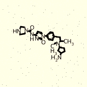 CCN(C(C)Cc1ccc(-n2ccc(NC(=O)N3CCNCC3)nc2=O)cc1)[C@H]1CCC(N)C1